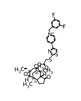 C=C[C@]12C[C@@H](OC(=O)CSc3nc(-c4cc[n+](Cc5cc(F)cc(F)c5)cc4)cs3)[C@]3(C)[C@H](C)CC[C@]4(CCC(=O)[C@H]43)[C@@H](C)[C@@H]1O2